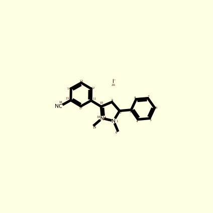 CN1C(c2ccccc2)CC(c2cccc(C#N)c2)=[N+]1C.[I-]